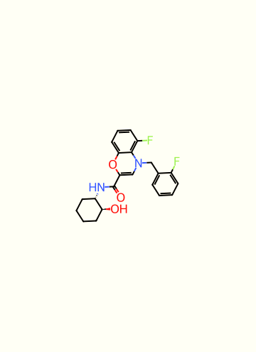 O=C(N[C@H]1CCCC[C@@H]1O)C1=CN(Cc2ccccc2F)c2c(F)cccc2O1